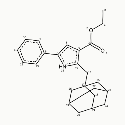 CCOC(=O)c1cc(-c2ccccc2)[nH]c1CC12CC3CC(CC(C3)C1)C2